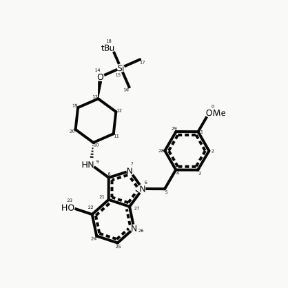 COc1ccc(Cn2nc(N[C@H]3CC[C@H](O[Si](C)(C)C(C)(C)C)CC3)c3c(O)ccnc32)cc1